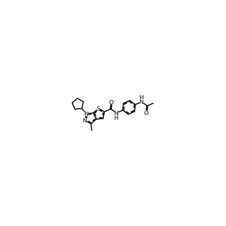 CC(=O)Nc1ccc(NC(=O)c2cc3c(C)nn(C4CCCC4)c3s2)cc1